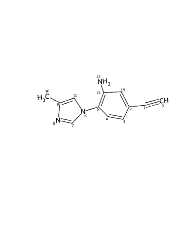 C#Cc1ccc(-n2cnc(C)c2)c(N)c1